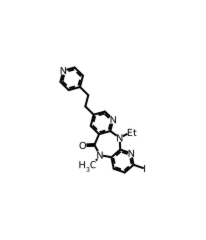 CCN1c2ncc(CCc3ccncc3)cc2C(=O)N(C)c2ccc(I)nc21